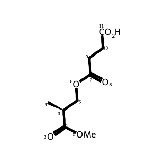 COC(=O)[C@@H](C)COC(=O)CCC(=O)O